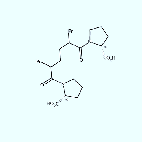 CC(C)C(CCC(C(=O)N1CCC[C@@H]1C(=O)O)C(C)C)C(=O)N1CCC[C@@H]1C(=O)O